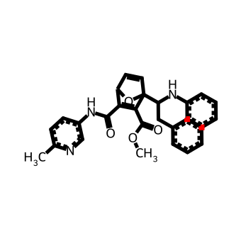 COC(=O)C1=C(C(=O)Nc2ccc(C)nc2)C2C=CC1(C(Cc1ccccc1)Nc1ccccc1)O2